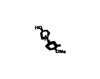 COc1ccc(N2CCC(O)CC2)cc1C